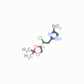 CC1(C)OC[C@@H](C(Cl)Cc2nc([N+](=O)[O-])c[nH]2)O1